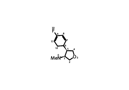 CN[C@@H]1COC[C@@H]1C1C=CC(F)=CC1